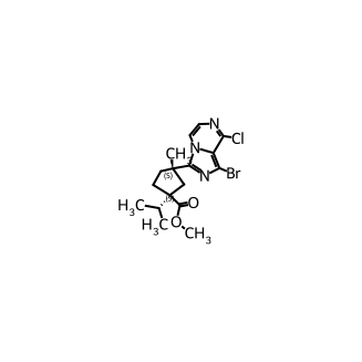 COC(=O)[C@@]1(C(C)C)CC[C@](C)(c2nc(Br)c3c(Cl)nccn23)C1